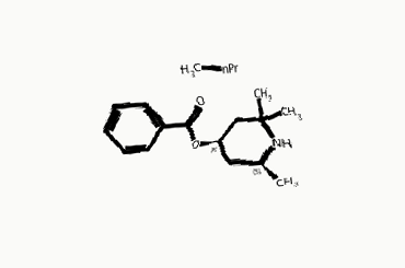 CCCC.C[C@H]1C[C@@H](OC(=O)c2ccccc2)CC(C)(C)N1